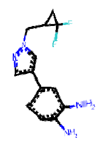 Nc1ccc(-c2cnn(CC3CC3(F)F)c2)cc1N